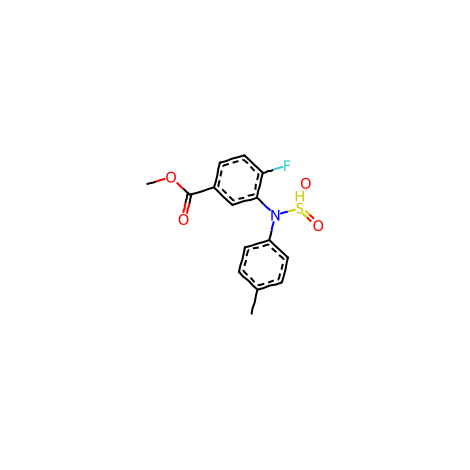 COC(=O)c1ccc(F)c(N(c2ccc(C)cc2)[SH](=O)=O)c1